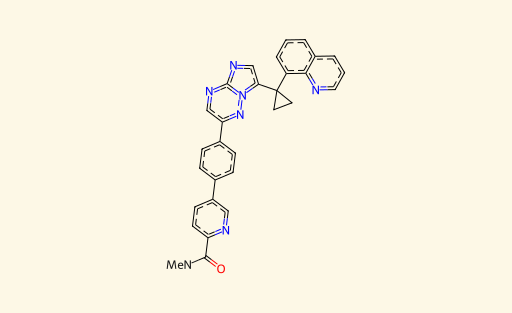 CNC(=O)c1ccc(-c2ccc(-c3cnc4ncc(C5(c6cccc7cccnc67)CC5)n4n3)cc2)cn1